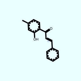 Cc1ccc(C(=O)/C=C/c2ccccc2)c(O)c1